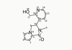 CN1C(=O)c2cccn2CC1c1cccnc1CO